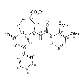 CCOC(=O)N1CCn2c(nc(-c3ccncn3)cc2=O)C(NC(=O)c2cccc(OC)c2OC)C1